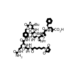 CCCO[C@H](C[C@H](C(C)C)N(CCC)C(=O)[C@@H](NC(=O)[C@H](C(C)CC)N(C)C(=O)OCc1ccc(NC(=O)[C@H](CCCNC(N)=O)NC(=O)[C@@H](NC(=O)CCCCCN2C(=O)C=CC2=O)C(C)C)cc1)[C@@H](C)CC)c1nc(C(=O)N[C@@H](Cc2ccccc2)C[C@H](C)C(=O)O)cs1